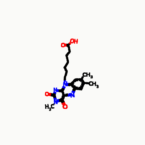 Cc1cc2nc3c(=O)n(C)c(=O)nc-3n(CCCCCCC(=O)O)c2cc1C